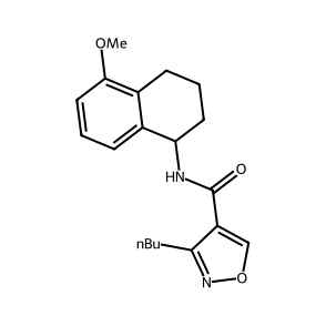 CCCCc1nocc1C(=O)NC1CCCc2c(OC)cccc21